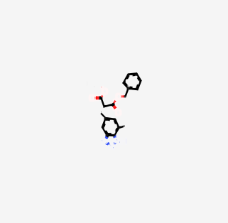 COC(=O)[C@@H](Cc1cc(C)c2[nH]nnc2c1)C(=O)OCc1ccccc1